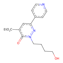 CCOC(=O)c1cc(-c2ccncc2)nn(CCCCO)c1=O